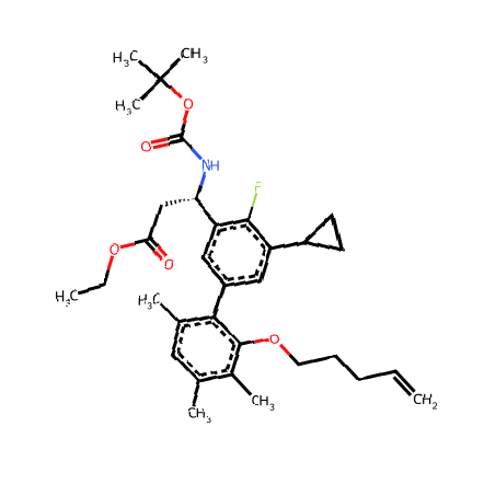 C=CCCCOc1c(C)c(C)cc(C)c1-c1cc(C2CC2)c(F)c([C@H](CC(=O)OCC)NC(=O)OC(C)(C)C)c1